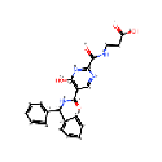 O=C(O)CCNC(=O)c1ncc(C(=O)NC(c2ccccc2)c2ccccc2)c(O)n1